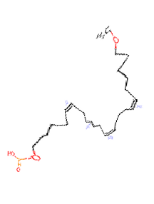 COCCCCC/C=C\C/C=C\C/C=C\C/C=C\CCCCO[PH](=O)O